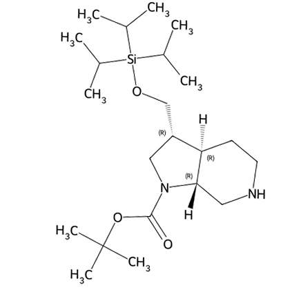 CC(C)[Si](OC[C@H]1CN(C(=O)OC(C)(C)C)[C@H]2CNCC[C@H]12)(C(C)C)C(C)C